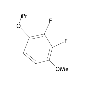 COc1ccc(OC(C)C)c(F)c1F